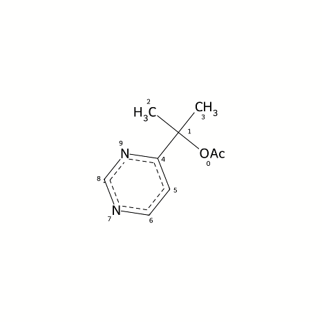 CC(=O)OC(C)(C)c1ccn[c]n1